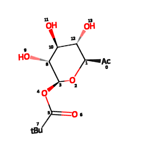 CC(=O)[C@H]1O[C@@H](OC(=O)C(C)(C)C)[C@H](O)[C@@H](O)[C@@H]1O